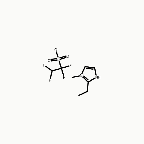 CCc1[nH]cc[n+]1C.O=S(=O)([O-])C(F)(F)C(F)F